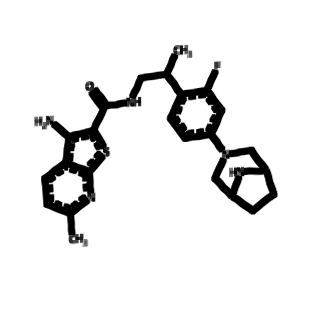 Cc1ccc2c(N)c(C(=O)NCC(C)c3ccc(N4CC5CCC(C4)N5)cc3F)sc2n1